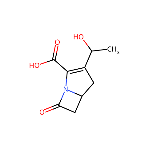 CC(O)C1=C(C(=O)O)N2C(=O)CC2C1